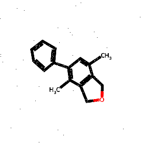 Cc1cc(-c2ccccc2)c(C)c2c1COC2